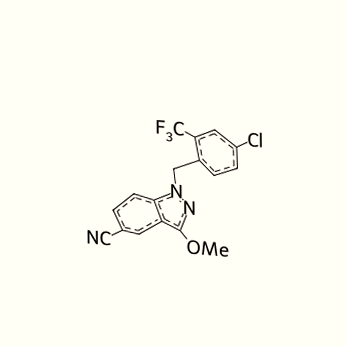 COc1nn(Cc2ccc(Cl)cc2C(F)(F)F)c2ccc(C#N)cc12